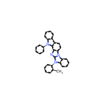 Cc1ccccc1-n1c2ccccc2n2c3ccc4c5ccccc5n(-c5ccccc5)c4c3nc12